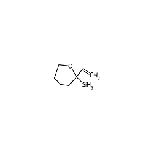 C=CC1([SiH3])CCCCO1